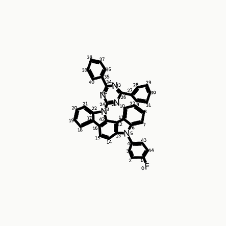 Fc1ccc(-n2c3ccccc3c3c2ccc2c4ccccc4n(-c4nc(-c5ccccc5)nc(-c5ccccc5)n4)c23)cc1